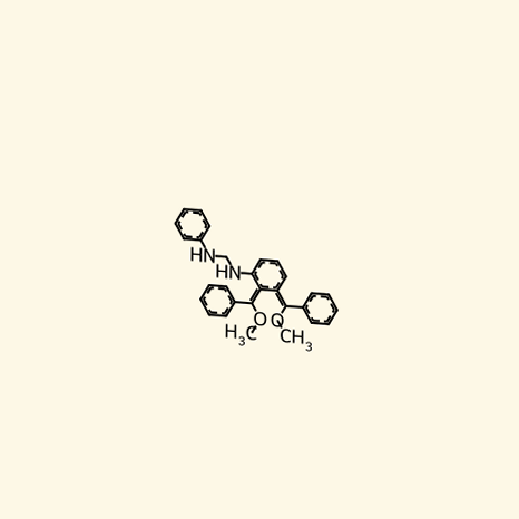 COC(c1ccccc1)=c1cccc(NCNc2ccccc2)c1=C(OC)c1ccccc1